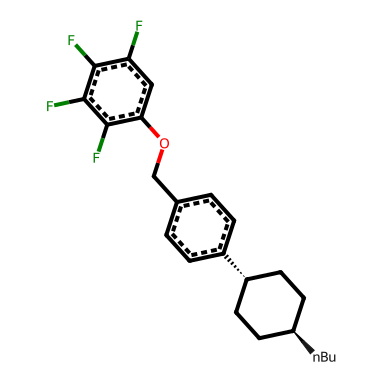 CCCC[C@H]1CC[C@H](c2ccc(COc3cc(F)c(F)c(F)c3F)cc2)CC1